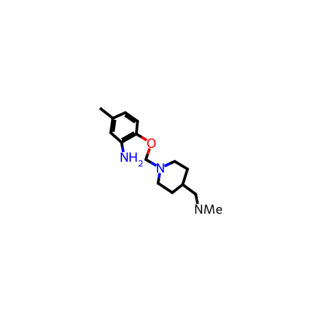 CNCC1CCN(COc2ccc(C)cc2N)CC1